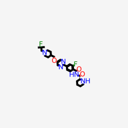 CC(C)(F)CN1CCC(COc2cnc(-c3ccc(C(=O)NC(=O)[C@H]4CCCCN4)c(F)c3)nc2)CC1